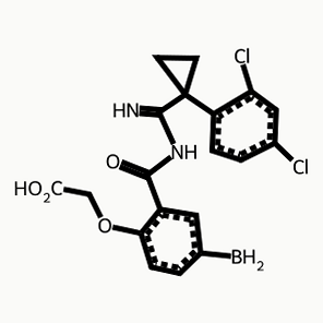 Bc1ccc(OCC(=O)O)c(C(=O)NC(=N)C2(c3ccc(Cl)cc3Cl)CC2)c1